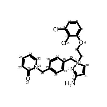 NC1=N[N+](CCOc2cccc(Cl)c2Cl)(Cc2ccc(Cn3ccccc3=O)cc2)C=C1